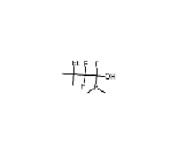 CCC(C)(C)C(F)(F)C(O)(F)P(C)C